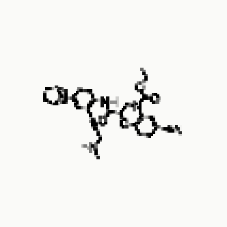 CCOC(=O)N1CC(C(=O)Nc2ccc(N3C4CCC3CC4)cc2C#CCN(C)C)Oc2ccc(C#N)cc21